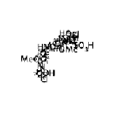 COc1c(N=Nc2cccc(Cl)c2O)ccc2cc(Nc3ccc4c(OC)c(N=Nc5cc(S(=O)(=O)O)cc(Cl)c5O)c(S(=O)(=O)O)cc4c3)ccc12